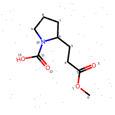 COC(=O)CCC1CCCN1C(=O)O